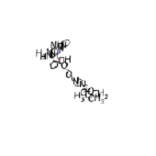 CC(C)(C)OC(=O)CN1CCN(CCOCCOCCCc2cc(N3C4CCC3CN(/C(=C/C(=N)c3ccccc3O)C(=N)N)C4)ccn2)CC1